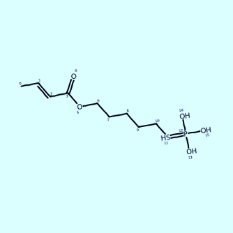 CC=CC(=O)OCCCCC[SH]=P(O)(O)O